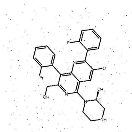 CC(C)c1ccccc1-c1c(CO)nc(N2CCNC[C@@H]2C)c2cc(Cl)c(-c3ccccc3F)nc12